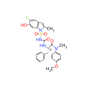 COc1ccc(N(C)C(=O)[C@H](Cc2ccccc2)NC(=O)NS(=O)(=O)n2c(C)cc3cc(F)c(O)cc32)cc1